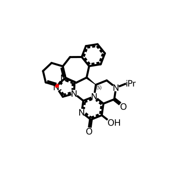 CC(C)N1C[C@H](C2CC3=C(CCC=C3)Cc3ccccc32)n2c(-n3cnnc3)nc(=O)c(O)c2C1=O